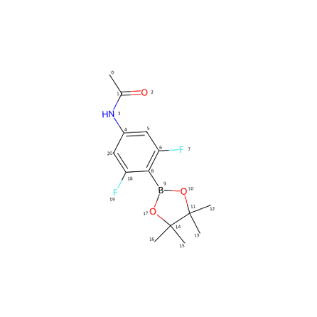 CC(=O)Nc1cc(F)c(B2OC(C)(C)C(C)(C)O2)c(F)c1